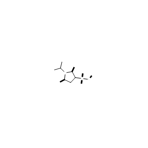 CC(C)N1C(=O)CC(S(=O)(=O)N=O)C1=O